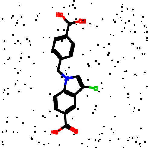 O=C(O)c1ccc2c(c1)c(Cl)cn2Cc1ccc(B(O)O)cc1